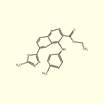 CCOC(=O)c1cnc2ccc(-c3nnc(C)o3)cc2c1Nc1ccc(C)cc1